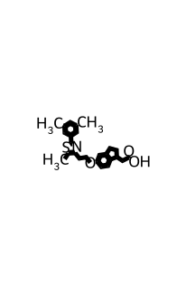 Cc1cc(C)cc(-c2nc(CCOc3ccc4c(c3)CCC4CC(=O)O)c(C)s2)c1